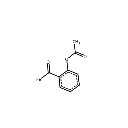 CC(=O)Oc1ccccc1[C](=O)[Fe]